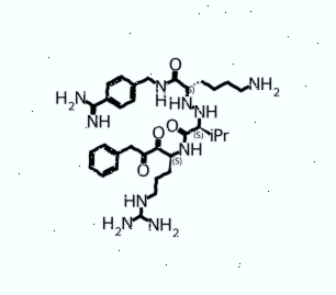 CC(C)[C@H](NN[C@@H](CCCCN)C(=O)NCc1ccc(C(=N)N)cc1)C(=O)N[C@@H](CCCNC(N)N)C(=O)C(=O)Cc1ccccc1